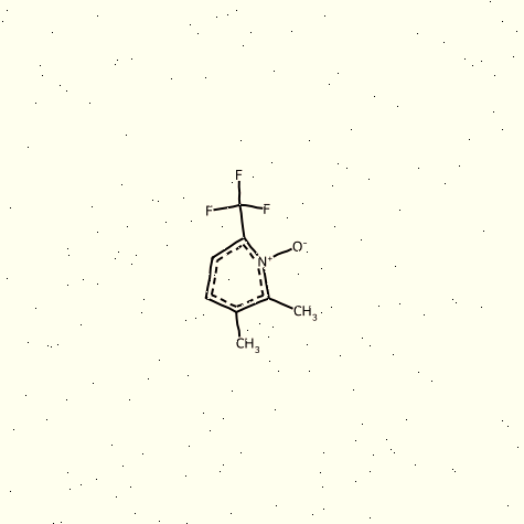 Cc1ccc(C(F)(F)F)[n+]([O-])c1C